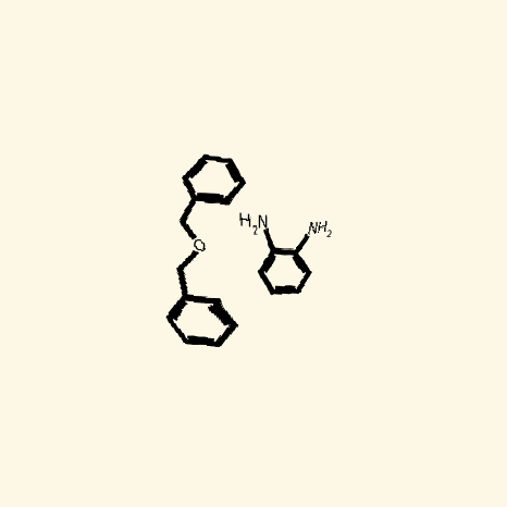 Nc1ccccc1N.c1ccc(COCc2ccccc2)cc1